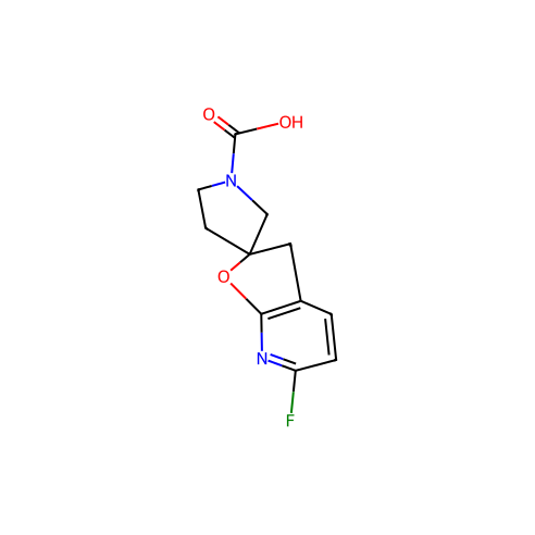 O=C(O)N1CCC2(Cc3ccc(F)nc3O2)C1